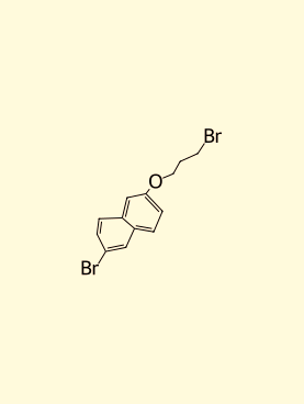 BrCCCOc1ccc2cc(Br)ccc2c1